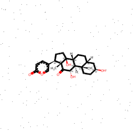 C[C@]12CC[C@H](O)C[C@H]1CC[C@@H]1[C@@H]2[C@H](O)C(=O)[C@]2(C)[C@@H](c3ccc(=O)oc3)CC[C@]12O